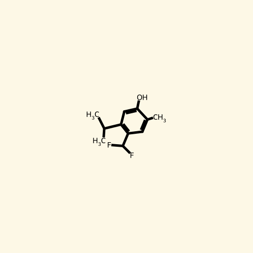 Cc1cc(C(F)F)c(C(C)C)cc1O